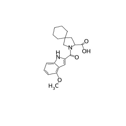 COc1cccc2[nH]c(C(=O)N3CC4(CCCCC4)CC3C(=O)O)cc12